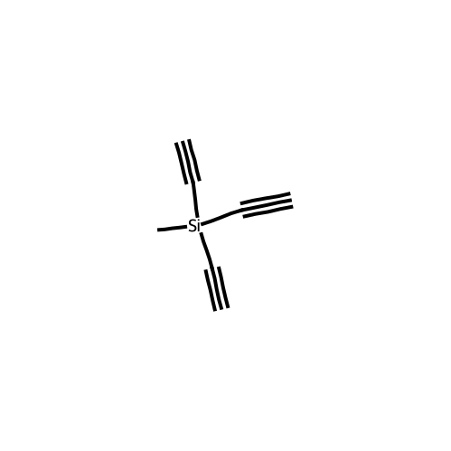 C#C[Si](C)(C#C)C#C